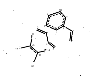 C=CC=C.C=Cc1ccccc1.FC(F)=C(F)F